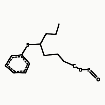 CCCC(CCCCOP=O)Sc1ccccc1